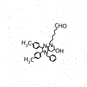 Cc1ccc(C2=NC3=C(CC(O)CN3CCCCCCC=O)N(Cc3ccccc3)C2c2ccc(C)cc2)cc1